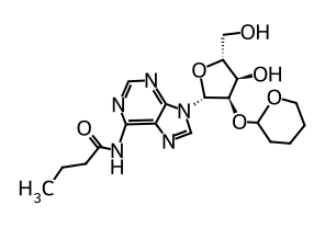 CCCC(=O)Nc1ncnc2c1ncn2[C@@H]1O[C@H](CO)[C@@H](O)[C@H]1OC1CCCCO1